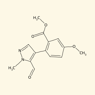 COC(=O)c1cc(OC)ccc1-c1cnn(C)c1C=O